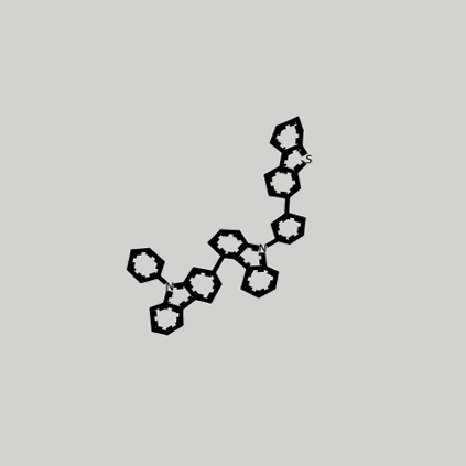 c1ccc(-n2c3ccccc3c3ccc(-c4cccc5c4c4ccccc4n5-c4cccc(-c5ccc6c(c5)sc5ccccc56)c4)cc32)cc1